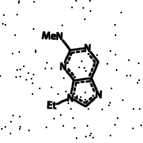 CCn1cnc2cnc(NC)nc21